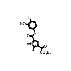 CCOC(=O)C(=O)c1cc(C(=O)Nc2ccc(F)c(C#N)c2)n(C)c1C